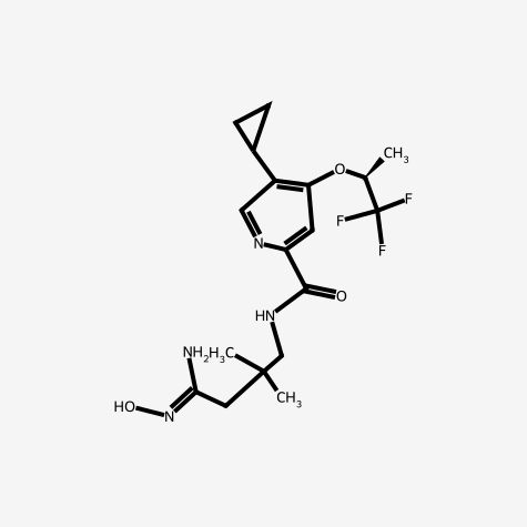 C[C@H](Oc1cc(C(=O)NCC(C)(C)C/C(N)=N/O)ncc1C1CC1)C(F)(F)F